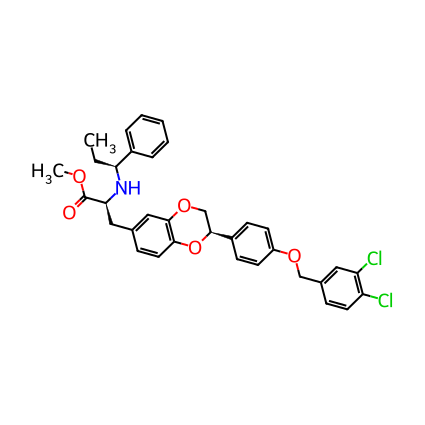 CC[C@H](N[C@@H](Cc1ccc2c(c1)OC[C@@H](c1ccc(OCc3ccc(Cl)c(Cl)c3)cc1)O2)C(=O)OC)c1ccccc1